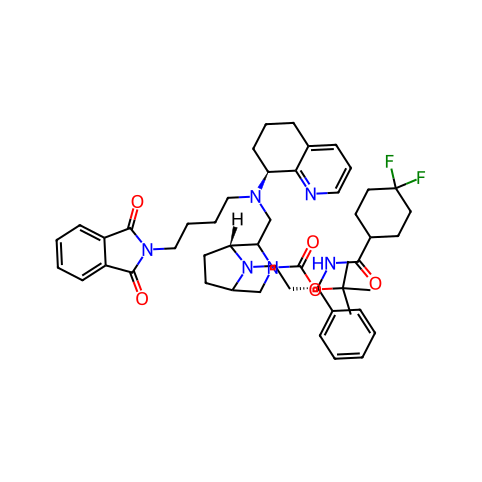 CC(C)(C)OC(=O)N1CC2CC[C@H](C1CN(CCCCN1C(=O)c3ccccc3C1=O)[C@H]1CCCc3cccnc31)N2CC[C@H](NC(=O)C1CCC(F)(F)CC1)c1ccccc1